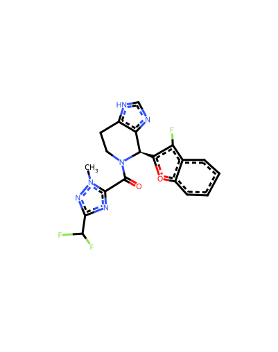 Cn1nc(C(F)F)nc1C(=O)N1CCc2[nH]cnc2[C@H]1c1oc2ccccc2c1F